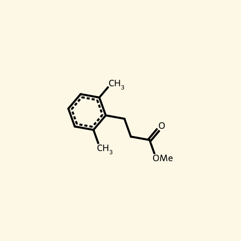 COC(=O)CCc1c(C)cccc1C